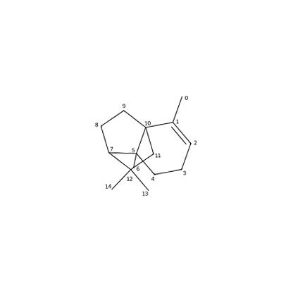 CC1=CCCC2(C)C3CCC12CC3(C)C